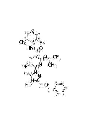 CCn1c(COCc2ccccc2)nn(-c2nc(O[C@@H](C)C(F)(F)F)c(C(=O)Nc3c(F)cccc3Cl)cc2F)c1=O